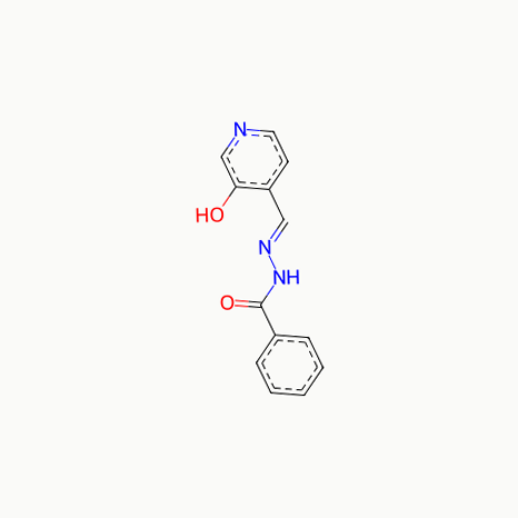 O=C(N/N=C/c1ccncc1O)c1ccccc1